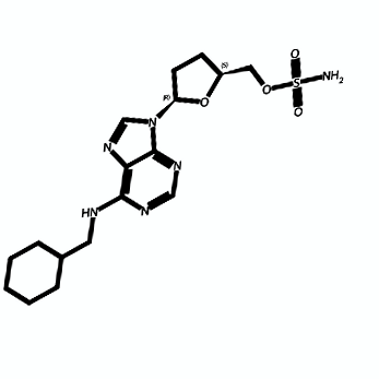 NS(=O)(=O)OC[C@@H]1CC[C@H](n2cnc3c(NCC4CCCCC4)ncnc32)O1